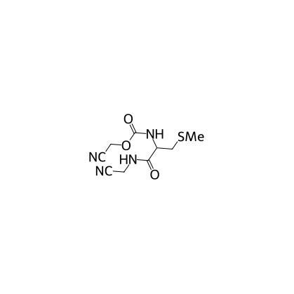 CSCC(NC(=O)OCC#N)C(=O)NCC#N